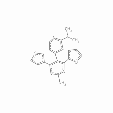 CN(C)c1cc(-c2c(-c3ccsc3)nc(N)nc2-c2ccco2)ccn1